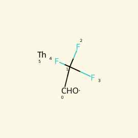 O=[C]C(F)(F)F.[Th]